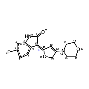 O=C1Nc2cc(F)ccc2/C1=C1/C=C(N2CCOCC2)CO1